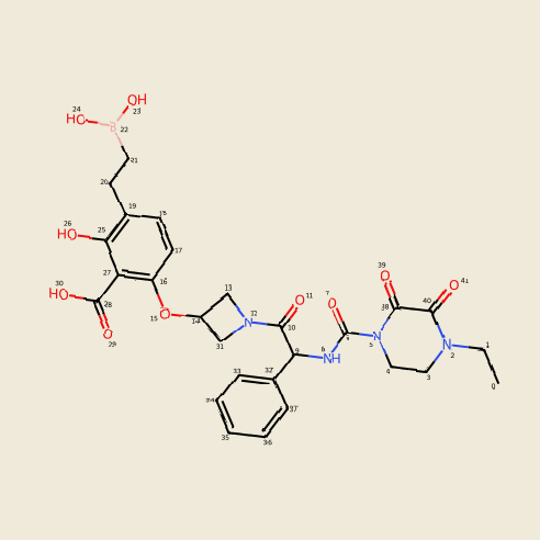 CCN1CCN(C(=O)NC(C(=O)N2CC(Oc3ccc(CCB(O)O)c(O)c3C(=O)O)C2)c2ccccc2)C(=O)C1=O